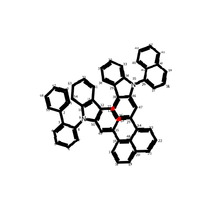 C1=C=C(c2ccccc2-n2c3c(c4ccc(-c5cccc6cccc(-c7ccc8c9ccccc9n(-c9cccc%10ccccc9%10)c8c7)c56)cc42)C=CCC3)C=CC=1